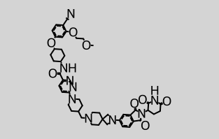 COCCOc1cc(O[C@H]2CC[C@H](NC(=O)c3ccc(N4CCC(CN5CCC6(CC5)CN(c5ccc7c(c5)C(=O)N(C5CCC(=O)NC5=O)C7=O)C6)CC4)nn3)CC2)ccc1C#N